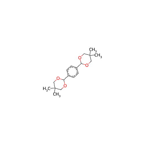 CC1(C)COC(c2ccc(C3OCC(C)(C)CO3)cc2)OC1